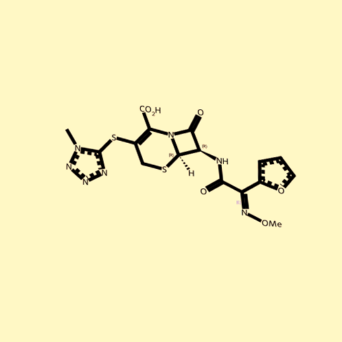 CO/N=C(/C(=O)N[C@@H]1C(=O)N2C(C(=O)O)=C(Sc3nnnn3C)CS[C@H]12)c1ccco1